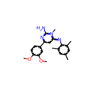 COc1ccc(-c2cc(=Nc3c(C)cc(C)cc3C)n(C)c(N)n2)cc1OC